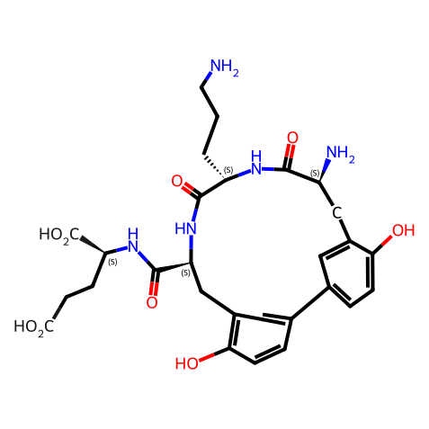 NCCC[C@@H]1NC(=O)[C@@H](N)Cc2cc(ccc2O)-c2ccc(O)c(c2)C[C@@H](C(=O)N[C@@H](CCC(=O)O)C(=O)O)NC1=O